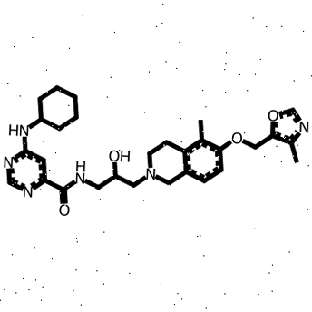 Cc1ncoc1COc1ccc2c(c1C)CCN(CC(O)CNC(=O)c1cc(NC3CCCCC3)ncn1)C2